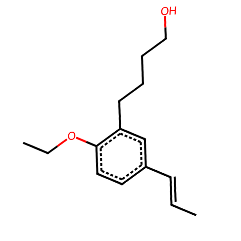 CC=Cc1ccc(OCC)c(CCCCO)c1